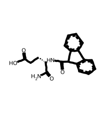 NC(=O)[C@H](CCC(=O)O)NC(=O)C1c2ccccc2-c2ccccc21